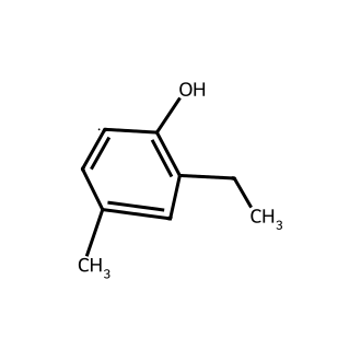 CCc1cc(C)c[c]c1O